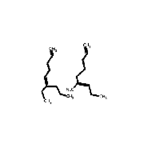 C=CCCC=C(CC)CCC.C=CCCCC(C)=CCC